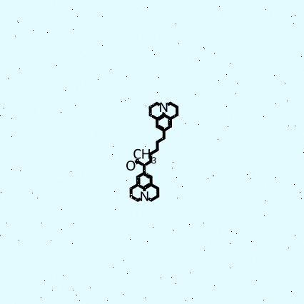 CC(=O)C(CCCCCc1cc2c3c(c1)CCCN3CCC2)c1cc2c3c(c1)CCCN3CCC2